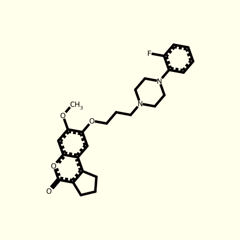 COc1cc2oc(=O)c3c(c2cc1OCCCN1CCN(c2ccccc2F)CC1)CCC3